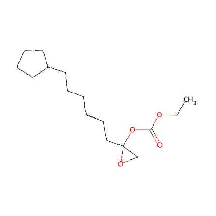 CCOC(=O)OC1(CCCCCCC2CCCC2)CO1